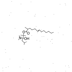 CCCCCCC=CCCCC(C)C(=O)OC(C)(C)C(O)(CC(C)C)N(C)C